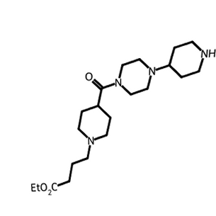 CCOC(=O)CCCN1CCC(C(=O)N2CCN(C3CCNCC3)CC2)CC1